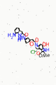 COC(=O)c1c(C)[nH]c2c(O)cc3c(c12)[C@H](CCl)CN3C(=O)c1cc2cc(NC(=O)c3cc4cccc(N)c4[nH]3)ccc2o1